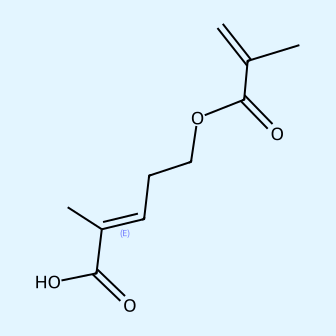 C=C(C)C(=O)OCC/C=C(\C)C(=O)O